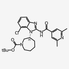 Cc1cc(C(=O)Nc2nc3cccc(Cl)c3n2[C@@H]2CCCCN(C(=O)OC(C)(C)C)C2)cc(C)n1